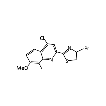 COc1ccc2c(Cl)cc(C3=NC(C(C)C)CS3)nc2c1C